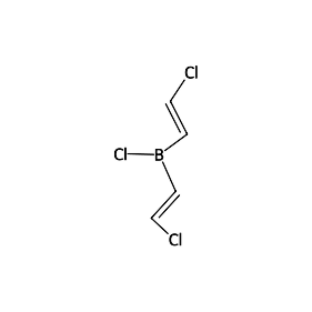 ClC=CB(Cl)C=CCl